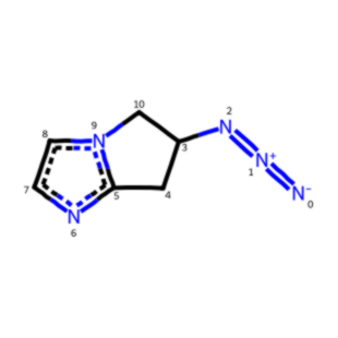 [N-]=[N+]=NC1Cc2nccn2C1